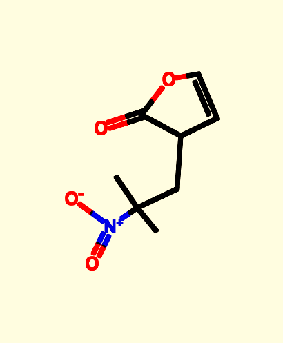 CC(C)(CC1C=COC1=O)[N+](=O)[O-]